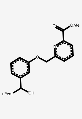 CCCCCC(O)c1cccc(OCc2cccc(C(=O)OC)n2)c1